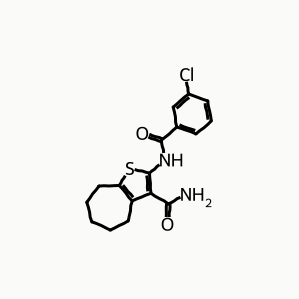 NC(=O)c1c(NC(=O)c2cccc(Cl)c2)sc2c1CCCCC2